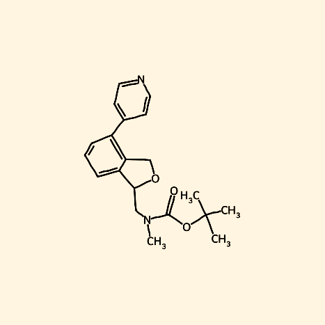 CN(CC1OCc2c(-c3ccncc3)cccc21)C(=O)OC(C)(C)C